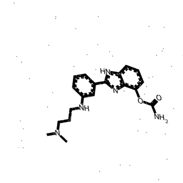 CN(C)CCCNc1cccc(-c2nc3c(OC(N)=O)cccc3[nH]2)c1